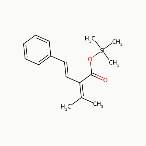 CC(C)=C(C=Cc1ccccc1)C(=O)O[Si](C)(C)C